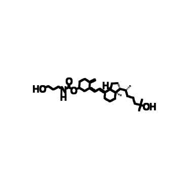 C=C1CC[C@H](OC(=O)NCCCO)C/C1=C/C=C1\CCC[C@]2(C)[C@@H]([C@H](C)CCCC(C)(C)O)CC[C@@H]12